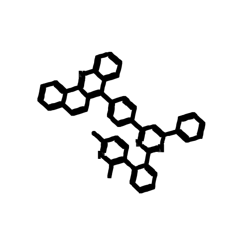 Cc1ccc(-c2ccccc2-c2nc(-c3ccccc3)cc(-c3ccc(-c4c5ccccc5nc5c4ccc4ccccc45)cc3)n2)c(C)n1